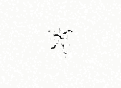 CCCN(C(=O)NC(=O)OC)c1nc(CC)n(C)c1C(=O)OC